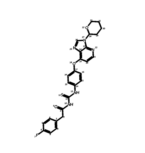 O=C(Cc1ccc(F)cc1)NC(=S)Nc1ccc(Oc2ccnc3c2ncn3C2CCCCO2)cc1